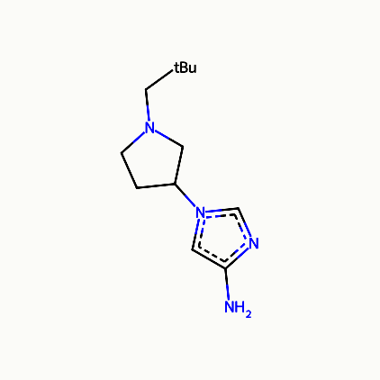 CC(C)(C)CN1CCC(n2cnc(N)c2)C1